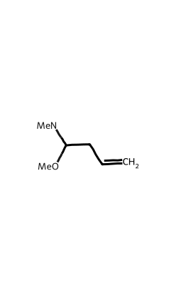 C=CCC(NC)OC